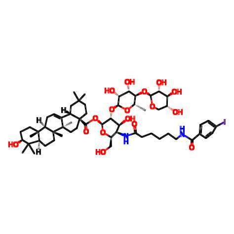 C[C@@H]1O[C@@H](O[C@H]2[C@H](OC(=O)[C@]34CCC(C)(C)C[C@H]3C3=CC[C@@H]5[C@@]6(C)CC[C@H](O)C(C)(C)[C@@H]6CC[C@@]5(C)[C@]3(C)CC4)O[C@H](CO)[C@H](NC(=O)CCCCCNC(=O)c3ccc(I)cc3)[C@@H]2O)[C@H](O)[C@H](O)[C@H]1O[C@@H]1OC[C@@H](O)[C@H](O)[C@H]1O